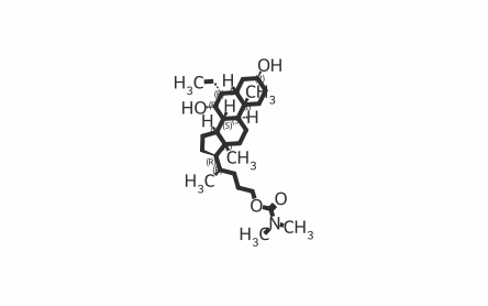 CC[C@H]1[C@@H](O)[C@@H]2[C@H](CC[C@]3(C)[C@@H]([C@H](C)CCCOC(=O)N(C)C)CC[C@@H]23)[C@@]2(C)CC[C@@H](O)C[C@@H]12